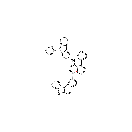 c1ccc(-c2ccccc2N(c2ccc(-c3ccc4ccc5sc6ccccc6c5c4c3)cc2)c2ccc3c(c2)c2ccccc2n3-c2ccccc2)cc1